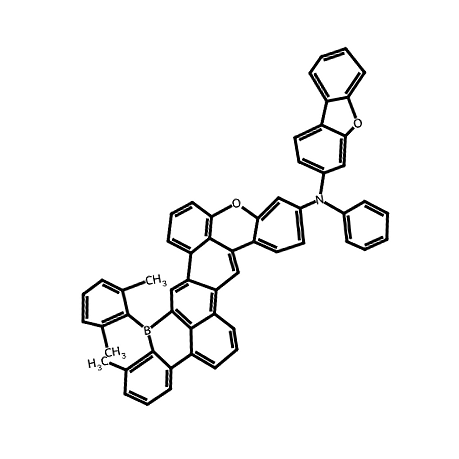 Cc1cccc(C)c1B1c2c(C)cccc2-c2cccc3c2c1cc1c2cccc4c2c(cc31)-c1ccc(N(c2ccccc2)c2ccc3c(c2)oc2ccccc23)cc1O4